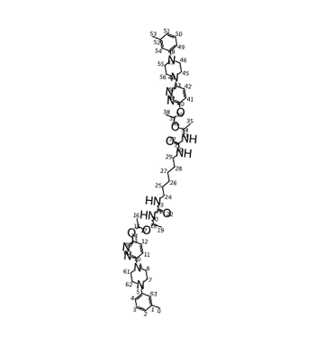 Cc1cccc(N2CCN(c3ccc(OC(C)OC(C)NC(=O)NCCCCCCNC(=O)NC(C)OC(C)Oc4ccc(N5CCN(c6cccc(C)c6)CC5)nn4)nn3)CC2)c1